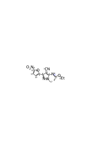 CCO/C(C)=N/c1c(C#N)c(-c2ccc([N+](=O)[O-])o2)nn1C